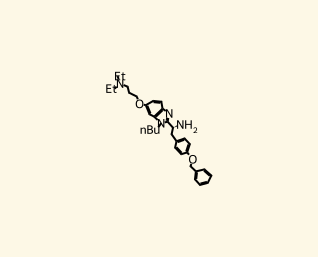 CCCCn1c([C@H](N)Cc2ccc(OCc3ccccc3)cc2)nc2ccc(OCCCN(CC)CC)cc21